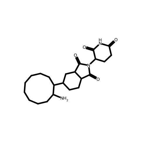 NC1CCCCCCCCC1C1CCC2C(=O)N(C3CCC(=O)NC3=O)C(=O)C2C1